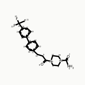 NC(=O)N1CCN(C(=O)[CH]Cc2ccc(-c3ccc(C(F)(F)F)cc3)cc2)CC1